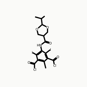 Cc1c(C(=O)Cl)c(I)c(NC(=O)C2COC(C(C)C)OC2)c(I)c1C(=O)Cl